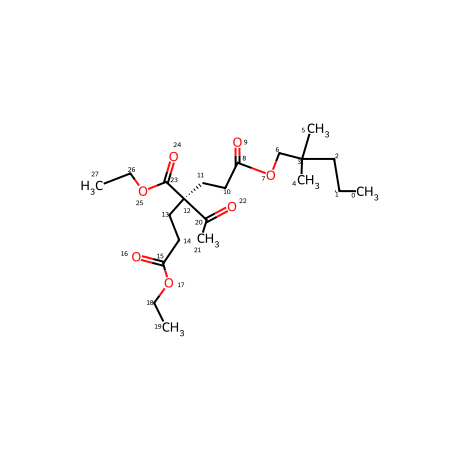 C[CH]CC(C)(C)COC(=O)CC[C@@](CCC(=O)OCC)(C(C)=O)C(=O)OCC